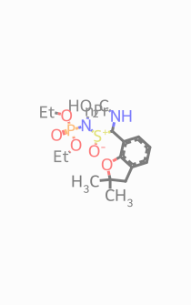 CCCN([S+]([O-])C(NC(=O)O)c1cccc2c1OC(C)(C)C2)P(=O)(OCC)OCC